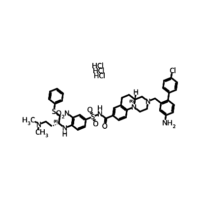 CN(C)CC[C@H](CSc1ccccc1)Nc1ccc(S(=O)(=O)NC(=O)c2ccc3c(c2)CC[C@@H]2CN(Cc4cc(N)ccc4-c4ccc(Cl)cc4)CCN32)cc1[N+](=O)[O-].Cl.Cl.Cl